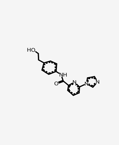 O=C(Nc1ccc(CCO)cc1)c1cccc(-n2ccnc2)n1